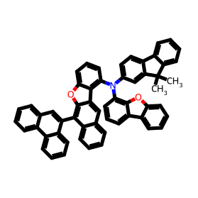 CC1(C)c2ccccc2-c2ccc(N(c3cccc4c3oc3ccccc34)c3cccc4oc5c(-c6cc7ccccc7c7ccccc67)c6ccccc6cc5c34)cc21